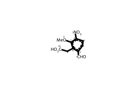 COc1c([N+](=O)[O-])ccc(C=O)c1CC(=O)O